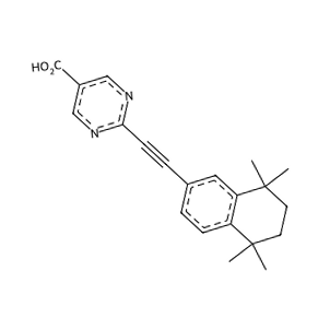 CC1(C)CCC(C)(C)c2cc(C#Cc3ncc(C(=O)O)cn3)ccc21